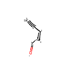 C#C/C=C\C=O